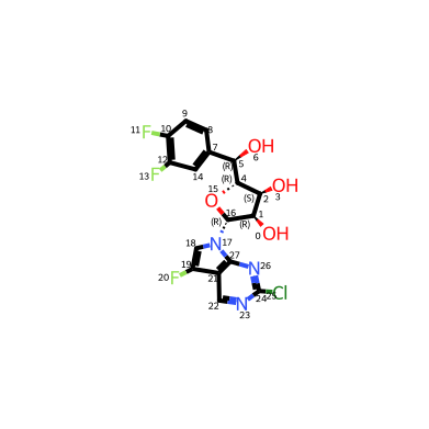 O[C@@H]1[C@H](O)[C@@H]([C@H](O)c2ccc(F)c(F)c2)O[C@H]1n1cc(F)c2cnc(Cl)nc21